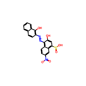 O=[N+]([O-])c1ccc2c(/N=N/c3ccc4ccccc4c3O)c(O)cc(S(=O)O)c2c1